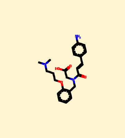 CN(C)CCCOc1ccccc1CN(CC(=O)O)C(=O)C=Cc1ccc(N)cc1